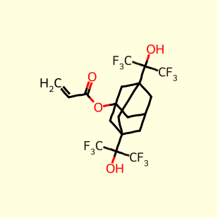 C=CC(=O)OC12CC3CC(C(O)(C(F)(F)F)C(F)(F)F)(C1)CC(C(O)(C(F)(F)F)C(F)(F)F)(C3)C2